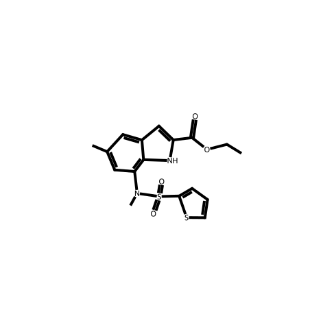 CCOC(=O)c1cc2cc(C)cc(N(C)S(=O)(=O)c3cccs3)c2[nH]1